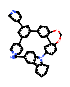 N#Cc1ccc2c(c1)c1ccccc1n2-c1ccc2c(c1)-c1cc(-c3cc(-c4ccncc4)cc(-c4ccncc4)c3)ccc1OCO2